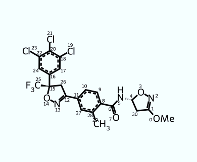 COC1=NO[C@@H](NC(=O)c2ccc(C3=NO[C@@](c4cc(Cl)c(Cl)c(Cl)c4)(C(F)(F)F)C3)cc2C)C1